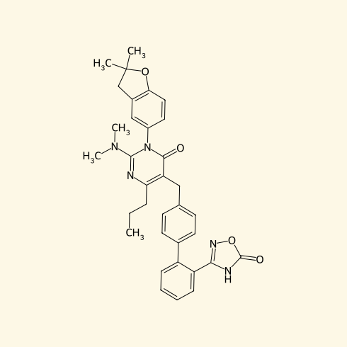 CCCc1nc(N(C)C)n(-c2ccc3c(c2)CC(C)(C)O3)c(=O)c1Cc1ccc(-c2ccccc2-c2noc(=O)[nH]2)cc1